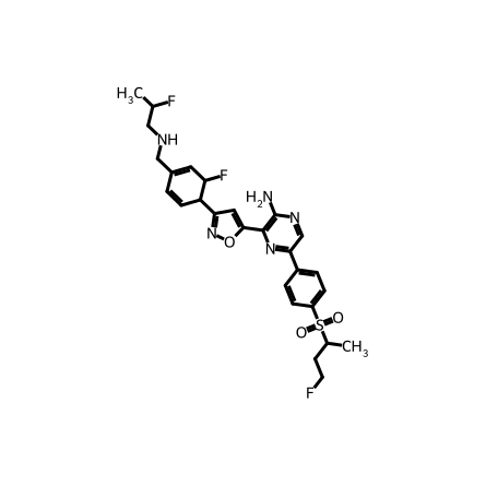 CC(F)CNCC1=CC(F)C(c2cc(-c3nc(-c4ccc(S(=O)(=O)C(C)CCF)cc4)cnc3N)on2)C=C1